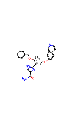 C[C@H](OCc1ccccc1)[C@H](CCOc1ccc2ccncc2c1)c1nc(C(N)=O)c[nH]1